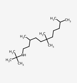 CC(C)CCCC(C)(C)CCC(C)CCNC(C)(C)C